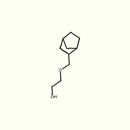 OCCOCC1CC2CCC1C2